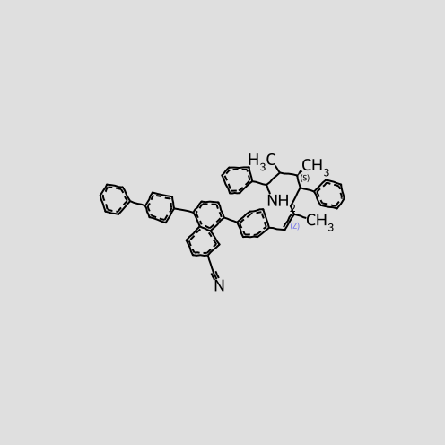 C/C(=C/c1ccc(-c2ccc(-c3ccc(-c4ccccc4)cc3)c3ccc(C#N)cc23)cc1)CC(c1ccccc1)[C@H](C)C(C)C(N)c1ccccc1